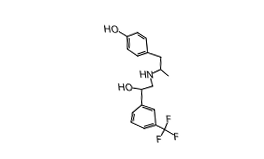 CC(Cc1ccc(O)cc1)NCC(O)c1cccc(C(F)(F)F)c1